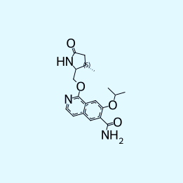 CC(C)Oc1cc2c(OCC3NC(=O)C[C@@H]3C)nccc2cc1C(N)=O